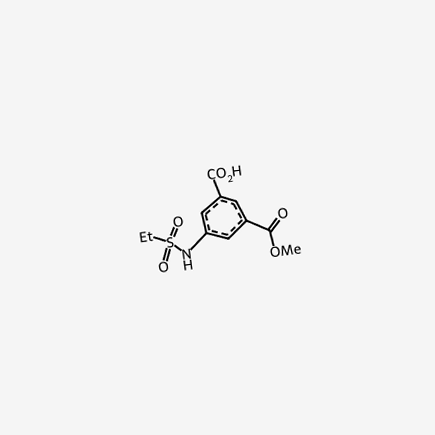 CCS(=O)(=O)Nc1cc(C(=O)O)cc(C(=O)OC)c1